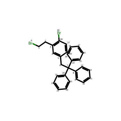 BrCCc1cc(CC(c2ccccc2)(c2ccccc2)c2ccccc2)ccc1Br